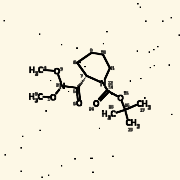 CON(OC)C(=O)[C@@H]1CCCCN1C(=O)OC(C)(C)C